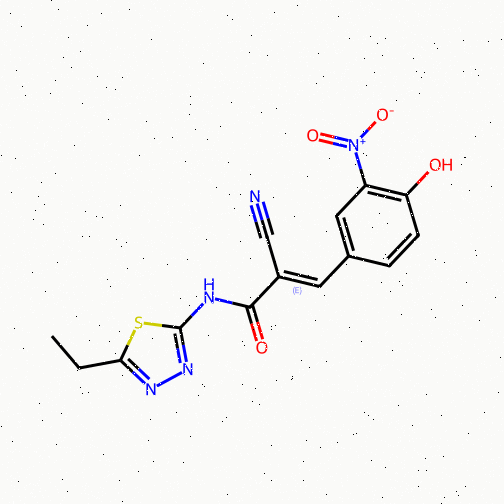 CCc1nnc(NC(=O)/C(C#N)=C/c2ccc(O)c([N+](=O)[O-])c2)s1